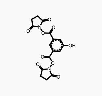 O=C(ON1C(=O)CCC1=O)c1cc(O)cc(C(=O)ON2C(=O)CCC2=O)c1